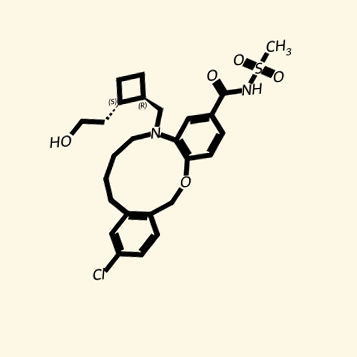 CS(=O)(=O)NC(=O)c1ccc2c(c1)N(C[C@@H]1CC[C@H]1CCO)CCCCc1cc(Cl)ccc1CO2